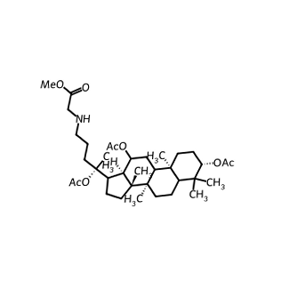 COC(=O)CNCCC[C@](C)(OC(C)=O)C1CC[C@]2(C)[C@@H]1C(OC(C)=O)CC1[C@@]3(C)CC[C@H](OC(C)=O)C(C)(C)C3CC[C@]12C